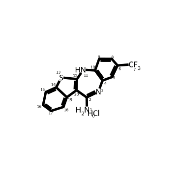 Cl.NC1=Nc2cc(C(F)(F)F)ccc2Nc2sc3ccccc3c21